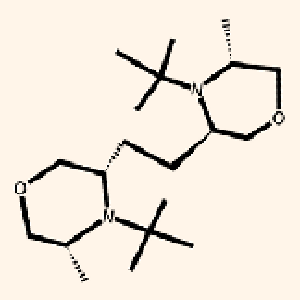 C[C@@H]1COC[C@@H](CC[C@H]2COC[C@@H](C)N2C(C)(C)C)N1C(C)(C)C